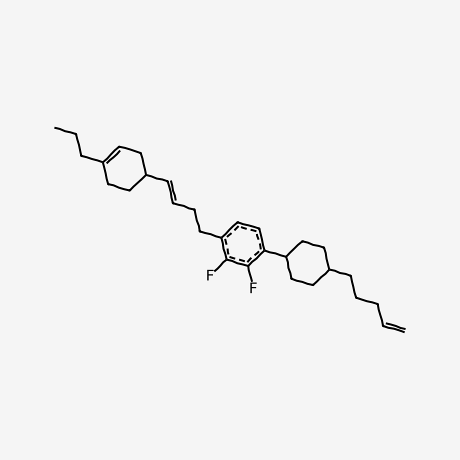 C=CCCCC1CCC(c2ccc(CC/C=C/C3CC=C(CCC)CC3)c(F)c2F)CC1